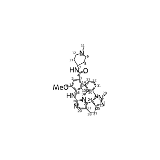 COc1cc(C(=O)NC2CCN(C)CC2)ccc1Nc1ncc2c(n1)-c1c(nn(C)c1-c1ccccc1C)CC2